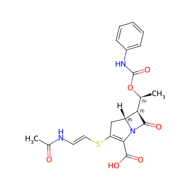 CC(=O)NC=CSC1=C(C(=O)O)N2C(=O)[C@H]([C@H](C)OC(=O)Nc3ccccc3)[C@H]2C1